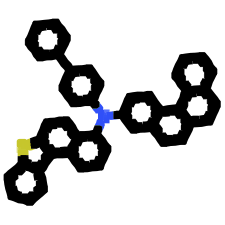 c1ccc(-c2ccc(N(c3ccc4c(ccc5ccc6ccccc6c54)c3)c3cccc4c3ccc3sc5ccccc5c34)cc2)cc1